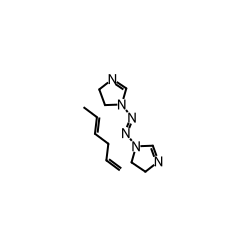 C1=NCCN1N=NN1C=NCC1.C=CCC=CC